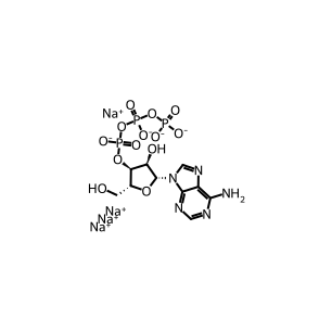 Nc1ncnc2c1ncn2[C@@H]1O[C@H](CO)[C@@H](OP(=O)([O-])OP(=O)([O-])OP(=O)([O-])[O-])[C@H]1O.[Na+].[Na+].[Na+].[Na+]